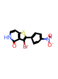 O=c1[nH]ccc2sc(-c3ccc([N+](=O)[O-])cc3)c(Br)c12